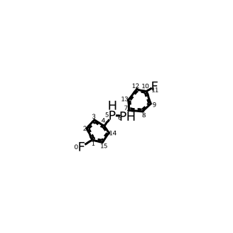 Fc1ccc(PPc2ccc(F)cc2)cc1